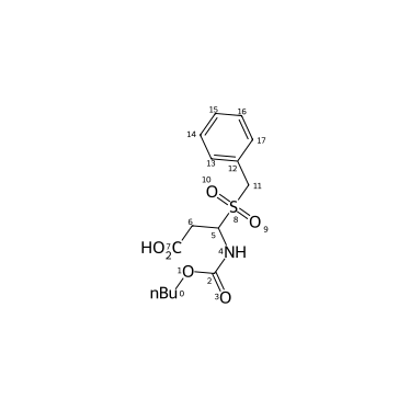 CCCCOC(=O)NC(CC(=O)O)S(=O)(=O)Cc1ccccc1